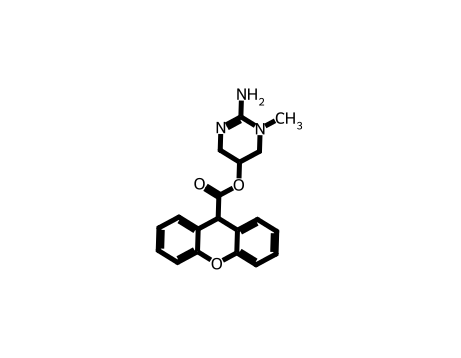 CN1CC(OC(=O)C2c3ccccc3Oc3ccccc32)CN=C1N